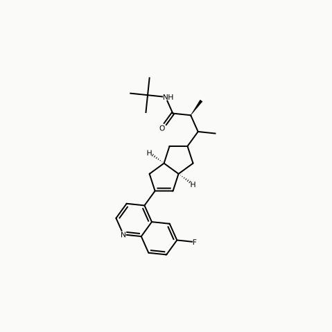 CC(C1C[C@@H]2CC(c3ccnc4ccc(F)cc34)=C[C@@H]2C1)[C@H](C)C(=O)NC(C)(C)C